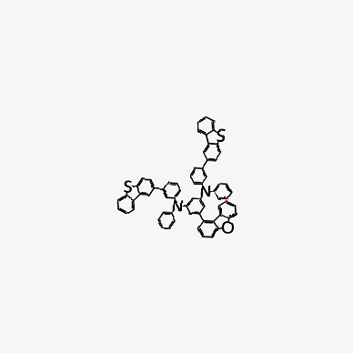 c1ccc(N(c2cccc(-c3ccc4sc5ccccc5c4c3)c2)c2cc(-c3cccc4oc5ccccc5c34)cc(N(c3ccccc3)c3cccc(-c4ccc5sc6ccccc6c5c4)c3)c2)cc1